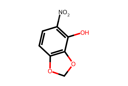 O=[N+]([O-])c1ccc2c(c1O)OCO2